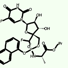 CC(C)OC(=O)[C@H](C)NP(=O)(OC[C@@]1(C(F)F)O[C@@H](n2cc(F)c(=O)[nH]c2=O)[C@@H](O)[C@@H]1O)Oc1cccc2ccccc12